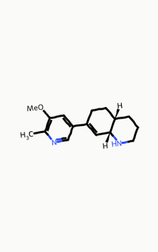 COc1cc(C2=C[C@H]3NCCC[C@H]3CC2)cnc1C